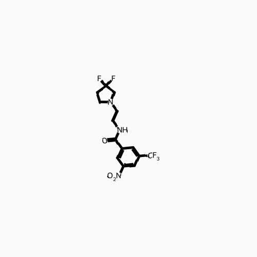 O=C(NCCN1CCC(F)(F)C1)c1cc([N+](=O)[O-])cc(C(F)(F)F)c1